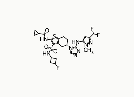 Cn1nc(C(F)F)cc1Nc1nncn1[C@H]1CCc2sc(NC(=O)C3CC3)c(S(=O)(=O)NC3CC(F)C3)c2C1